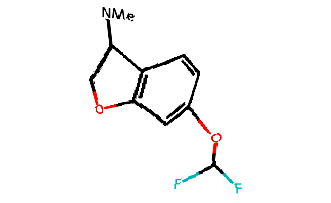 CNC1COc2cc(OC(F)F)ccc21